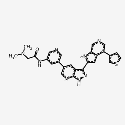 CN(C)CC(=O)Nc1cncc(-c2cnc3[nH]nc(-c4cc5c(-c6ccsc6)cncc5[nH]4)c3c2)c1